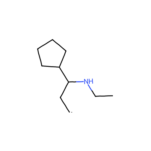 [CH2]CC(NCC)C1CCCC1